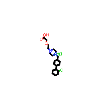 Cl.Cl.O=C(O)COCCN1CCN(Cc2ccc(-c3ccccc3Cl)cc2)CC1